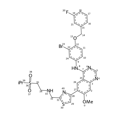 COc1cc2ncnc(Nc3ccc(OCc4cccc(F)c4)c(Br)c3)c2cc1-c1csc(CNCCS(=O)(=O)C(C)C)n1